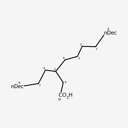 CCCCCCCCCCCCCCC(CCCCCCCCCCCC)CC(=O)O